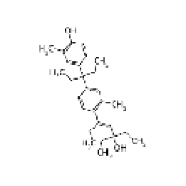 CCC(=CC(O)(CC)CC)c1ccc(C(CC)(CC)c2ccc(O)c(C)c2)cc1C